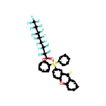 O=C(OS(c1ccccc1)(c1ccccc1)c1ccc2oc3ccccc3c(=S)c2c1)C(F)(F)C(F)(F)C(F)(F)C(F)(F)C(F)(F)C(F)(F)C(F)(F)F